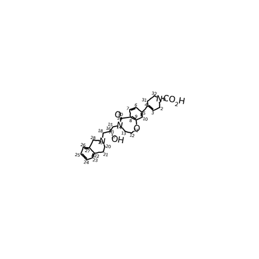 O=C(O)N1CC=C(c2ccc3c(c2)OCCN(C[C@H](O)CN2CCc4ccccc4C2)C3=O)CC1